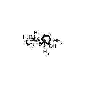 CC(C)(C)[Si](C)(C)O[C@]1(C)CCC[C@H](N)C1O